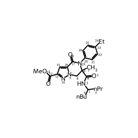 CCCCC(CCC)NC(=O)C1(C)Cn2nc(C(=O)OC)cc2C(=O)N1c1ccc(CC)cc1